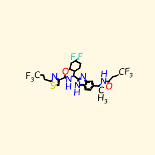 C[C@@H](NC(=O)CCC(F)(F)F)c1ccc2[nH]c([C@@H](NC(=O)c3csc(CCC(F)(F)F)n3)C3CCC(F)(F)CC3)nc2c1